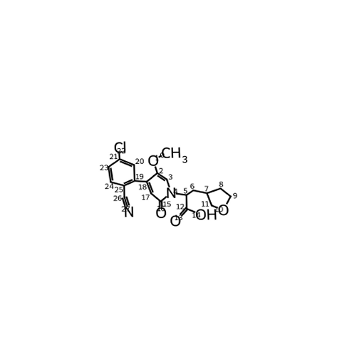 COc1cn(C(CC2CCOC2)C(=O)O)c(=O)cc1-c1cc(Cl)ccc1C#N